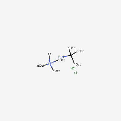 CCCCCCCCC(N)(CCCCCCCC)CCCCCCCC.CCCCCCCC[N+](CC)(CCCCCCCC)CCCCCCCC.Cl.[Cl-]